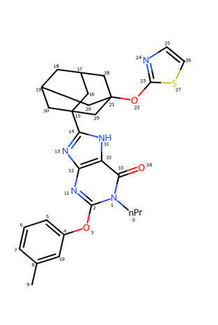 CCCn1c(Oc2cccc(C)c2)nc2nc(C34CC5CC(CC(Oc6nccs6)(C5)C3)C4)[nH]c2c1=O